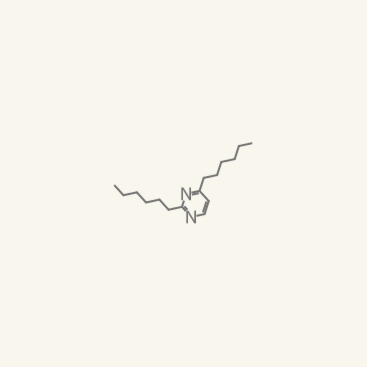 CCCCCCc1ccnc(CCCCCC)n1